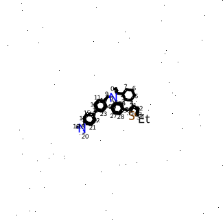 C=C(C1CCCCC1)N(Cc1ccc(-c2ccc(N(C)C)cc2)cc1)c1cccc(-c2ccc(CC)s2)c1